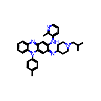 Cc1ccc(-n2c3c/c(=N/C4CCN(CC(C)C)CC4)c(Nc4cccnc4C)cc-3nc3ccccc32)cc1